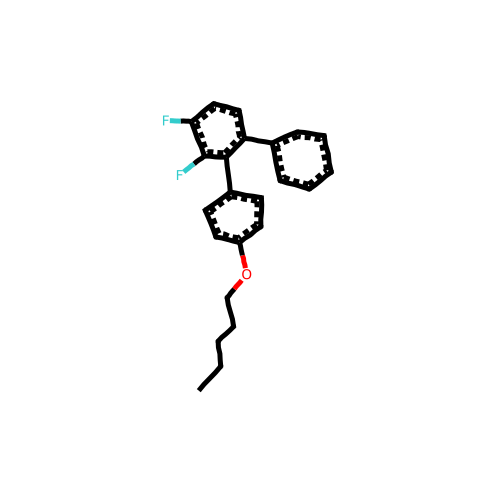 CCCCCOc1ccc(-c2c(-c3ccccc3)ccc(F)c2F)cc1